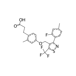 Cc1ccc(-c2nsc(C(F)(F)F)c2COc2ccc(CCC(=O)O)c(C)c2)c(F)c1